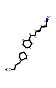 CCCC[C@H]1CC[C@H](C2CCC(CCC=CC=CC#N)CC2)CC1